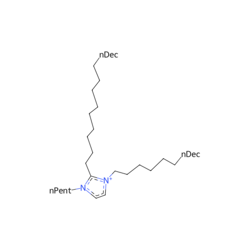 CCCCCCCCCCCCCCCCCCCc1n(CCCCC)cc[n+]1CCCCCCCCCCCCCCCC